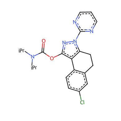 CC(C)N(C(=O)Oc1nn(-c2ncccn2)c2c1-c1ccc(Cl)cc1CC2)C(C)C